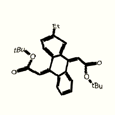 CCc1ccc2c(=CC(=O)OC(C)(C)C)c3ccccc3c(=CC(=O)OC(C)(C)C)c2c1